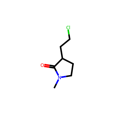 CN1CCC(CCCl)C1=O